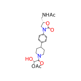 CC(=O)NC[C@H]1CN(c2ccc(C3CCN(C(=O)C(O)OC(C)=O)CC3)cc2)C(=O)O1